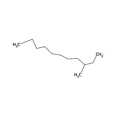 [CH2]CC(C)CCCCCCCC